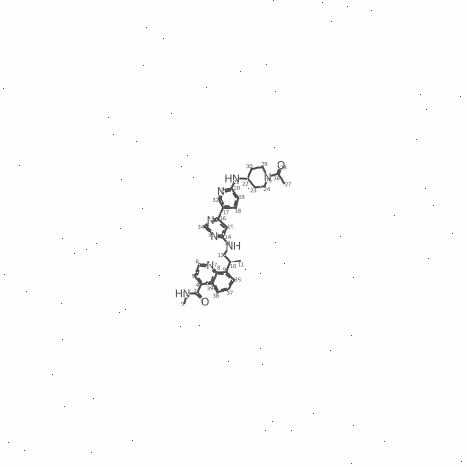 CNC(=O)c1ccnc2c([C@H](C)CNc3cc(-c4ccc(NC5CCN(C(C)=O)CC5)nc4)ncn3)cccc12